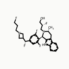 C[C@@H]1Cc2c([nH]c3ccccc23)[C@@H](c2c(F)cc([C@H](F)C3CN(CCCF)C3)cc2F)N1C[C@@H](F)CO